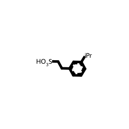 CC(C)c1cccc(CCS(=O)(=O)O)c1